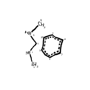 BBCBC.c1ccccc1